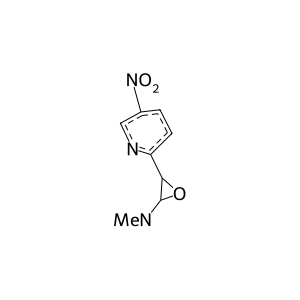 CNC1OC1c1ccc([N+](=O)[O-])cn1